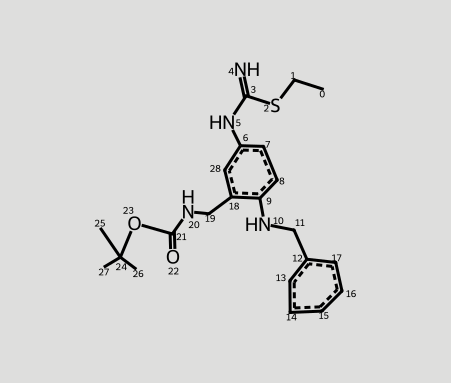 CCSC(=N)Nc1ccc(NCc2ccccc2)c(CNC(=O)OC(C)(C)C)c1